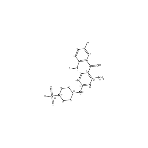 COc1ccc(C)cc1C(=O)c1cnc(NC2CCN(S(C)(=O)=O)CC2)nc1N